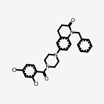 O=C(c1ccc(Cl)cc1Cl)N1CCN(c2ccc3c(c2)CCC(=O)N3Cc2ccccc2)CC1